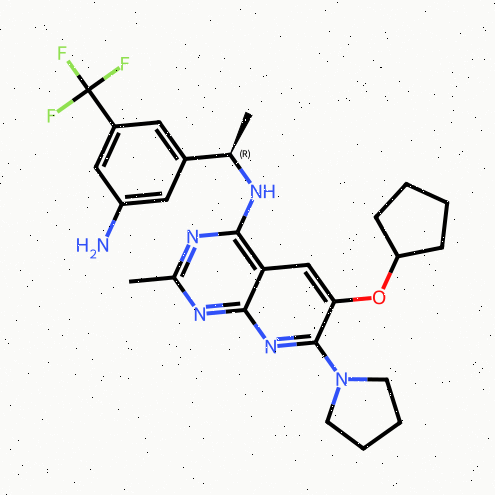 Cc1nc(N[C@H](C)c2cc(N)cc(C(F)(F)F)c2)c2cc(OC3CCCC3)c(N3CCCC3)nc2n1